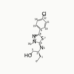 CC[C@@H](CO)N=c1sc(-c2ccc(Cl)cc2)nn1C